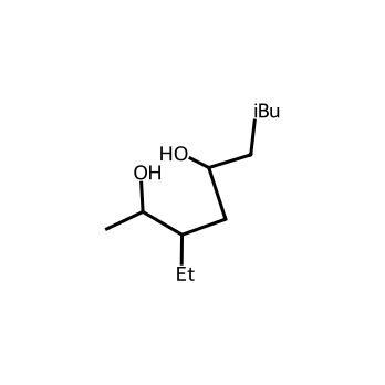 CCC(C)CC(O)CC(CC)C(C)O